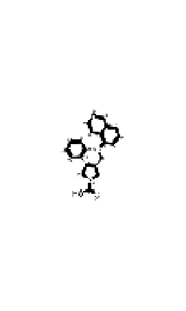 O=C(O)N1C[C@H](COc2cccc3cnccc23)[C@@H](c2ccccc2)C1